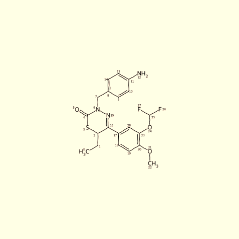 CCC1SC(=O)N(Cc2ccc(N)cc2)N=C1c1ccc(OC)c(OC(F)F)c1